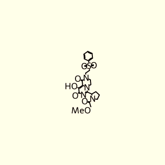 COCC(=O)N1CCCC1c1nc(=O)c(O)c2n1CCN(CCS(=O)(=O)c1ccccc1)C2=O